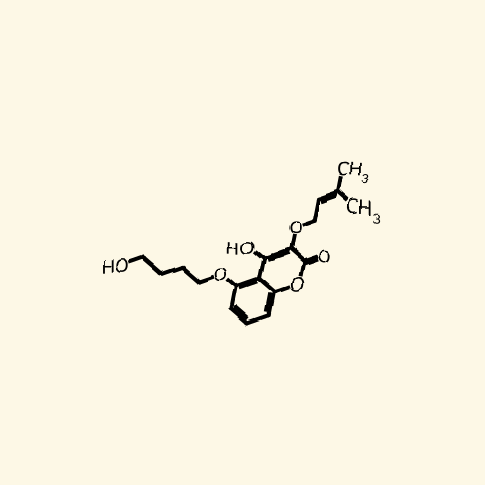 CC(C)=CCOc1c(O)c2c(OCCCCO)cccc2oc1=O